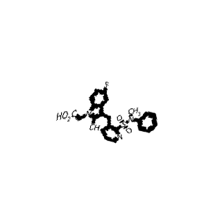 Cc1c(Cc2cccnc2S(=O)(=O)N(C)c2ccccc2)c2cc(F)ccc2n1CC(=O)O